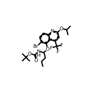 CCCC(NC(=O)OC(C)(C)C)Oc1c(Br)ccc2nc(OC(C)C)cc(C(F)(F)F)c12